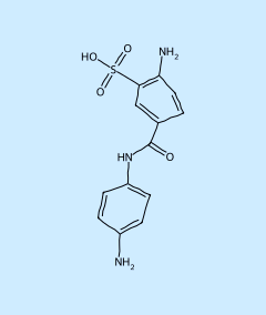 Nc1ccc(NC(=O)c2ccc(N)c(S(=O)(=O)O)c2)cc1